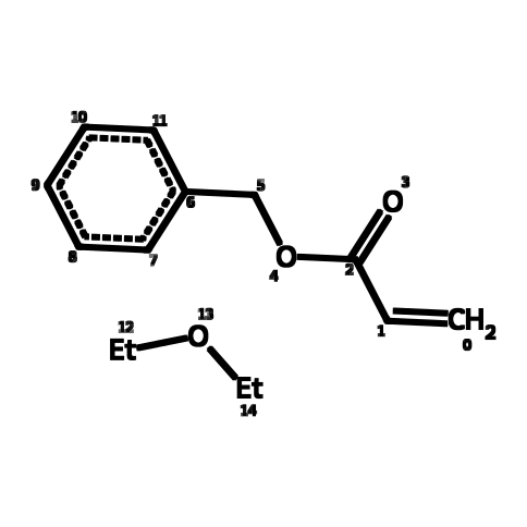 C=CC(=O)OCc1ccccc1.CCOCC